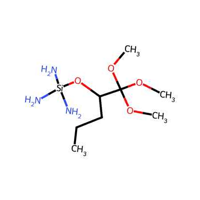 CCCC(O[Si](N)(N)N)C(OC)(OC)OC